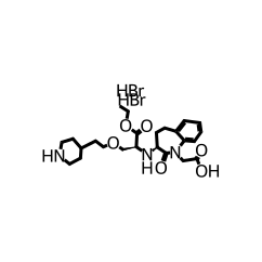 Br.Br.CCOC(=O)[C@H](COCCC1CCNCC1)N[C@H]1CCc2ccccc2N(CC(=O)O)C1=O